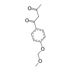 COCOc1ccc(C(=O)CC(C)=O)cc1